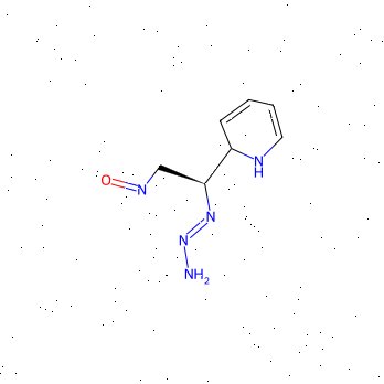 NN=N[C@@H](CN=O)C1C=CC=CN1